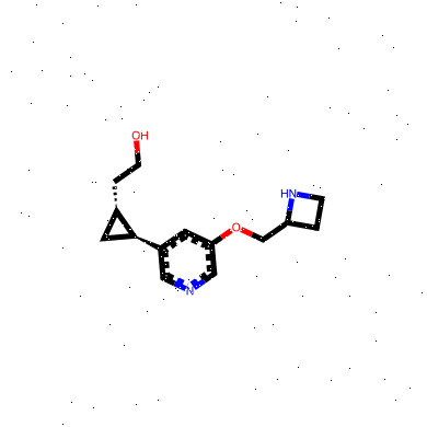 OCC[C@H]1C[C@@H]1c1cncc(OCC2CCN2)c1